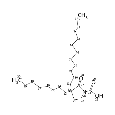 CCCCCCCCCCCCC1(CCCCCCCC)CCN(C(=O)O)C1=O